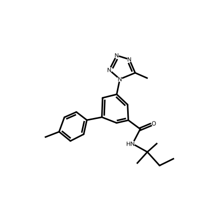 CCC(C)(C)NC(=O)c1cc(-c2ccc(C)cc2)cc(-n2nnnc2C)c1